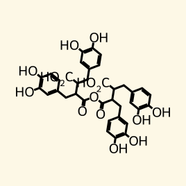 O=C(O)C(Cc1ccc(O)c(O)c1)C(Cc1ccc(O)c(O)c1)C(=O)OC(=O)C(Cc1ccc(O)c(O)c1)C(Cc1ccc(O)c(O)c1)C(=O)O